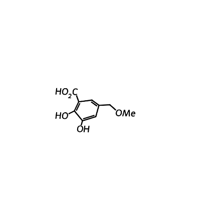 COCc1cc(O)c(O)c(C(=O)O)c1